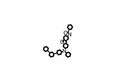 c1ccc(-c2cccc(-c3ccc(N(c4ccccc4)c4ccc5c(c4)oc4cc6oc(-c7ccccc7)nc6cc45)cc3)c2)cc1